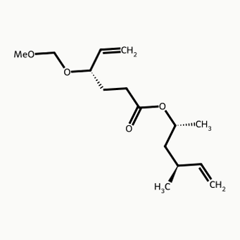 C=C[C@@H](C)C[C@@H](C)OC(=O)CC[C@@H](C=C)OCOC